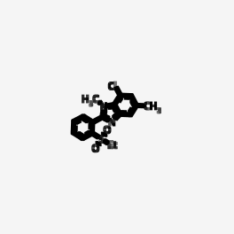 CCS(=O)(=O)c1ccccc1-c1nc2cc(C)cc(Cl)c2n1C